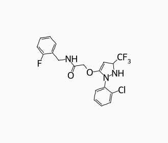 O=C(COC1=CC(C(F)(F)F)NN1c1ccccc1Cl)NCc1ccccc1F